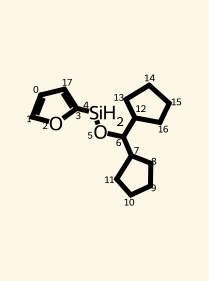 c1coc([SiH2]OC(C2CCCC2)C2CCCC2)c1